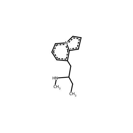 CCC(Cc1cccn2cccc12)NC